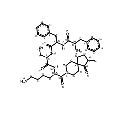 CC(C)C[C@@H](NC(=O)[C@@H](Cc1ccccc1)NC(=O)[C@H](N)Cc1ccccc1)C(=O)N[C@H](CCCCN)C(=O)N1CCC2(CCN(C)C2=O)CC1